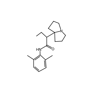 CCC(C(=O)Nc1c(C)cccc1C)C12CCCN1CCC2